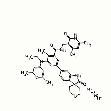 CCN(C1=CC(C)OC(C)=C1)c1cc(-c2ccc3c(c2)NC(=O)C32CCOCC2)cc(C(=O)NCc2c(C)cc(C)[nH]c2=O)c1C.[H+].[H+].[H+].[H+]